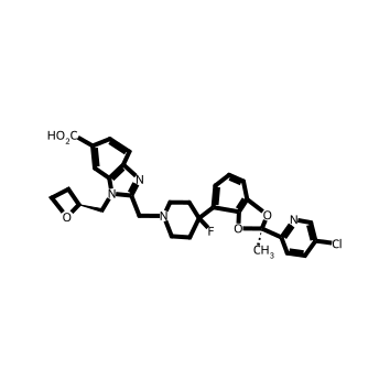 C[C@@]1(c2ccc(Cl)cn2)Oc2cccc(C3(F)CCN(Cc4nc5ccc(C(=O)O)cc5n4C[C@@H]4CCO4)CC3)c2O1